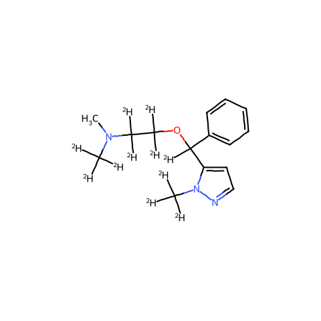 [2H]C(OC([2H])([2H])C([2H])([2H])N(C)C([2H])([2H])[2H])(c1ccccc1)c1ccnn1C([2H])([2H])[2H]